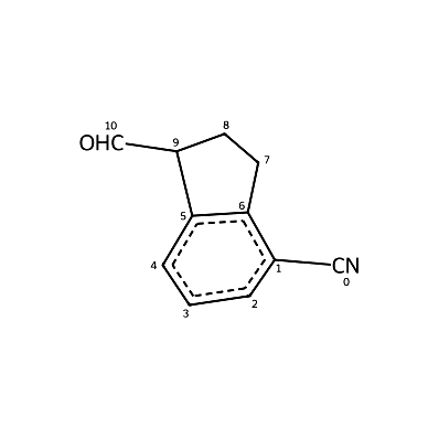 N#Cc1cccc2c1CCC2C=O